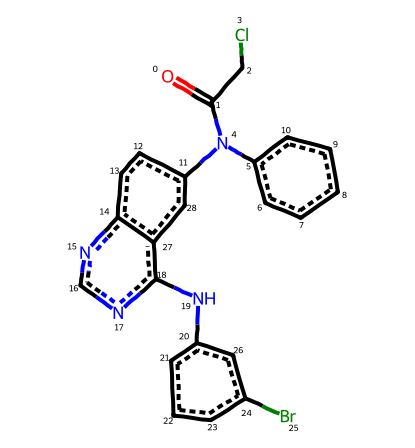 O=C(CCl)N(c1ccccc1)c1ccc2ncnc(Nc3cccc(Br)c3)c2c1